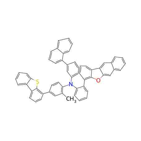 Cc1cc(-c2cccc3c2sc2ccccc23)ccc1N(c1cccc(-c2cccc3ccccc23)c1)c1ccccc1-c1cccc2c1oc1cc3ccccc3cc12